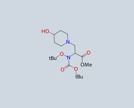 COC(=O)C(CN1CCC(O)CC1)N(OC(C)(C)C)C(=O)OC(C)(C)C